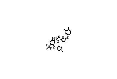 Cc1ccc(Sc2ccc(S(=O)(=O)Nc3ccc(C(F)(F)F)c(OC4CCN(C)C4)c3)s2)cc1C